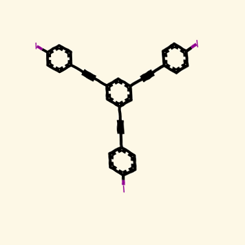 Ic1ccc(C#Cc2cc(C#Cc3ccc(I)cc3)cc(C#Cc3ccc(I)cc3)c2)cc1